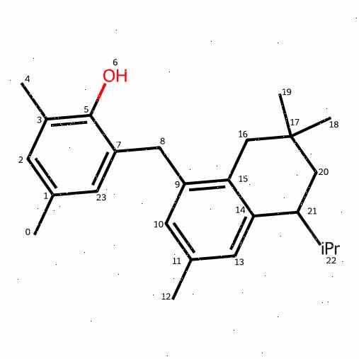 Cc1cc(C)c(O)c(Cc2cc(C)cc3c2CC(C)(C)CC3C(C)C)c1